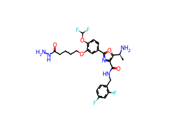 C[C@H](N)c1oc(-c2ccc(OC(F)F)c(OCCCCC(=O)NN)c2)nc1C(=O)NCc1ccc(F)cc1F